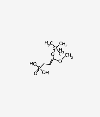 CO/C(=C/CP(=O)(O)O)O[Si](C)(C)C